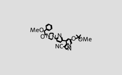 COC(C(=O)N1CCN(c2ccc(-c3cc(OCC(C)(C)OC)cn4ncc(C#N)c34)cn2)CC1)c1ccccc1